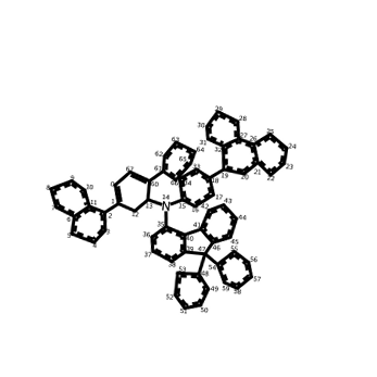 C1=C(c2cccc3ccccc23)CC(N(c2ccc(-c3cc4ccccc4c4ccccc34)cc2)c2cccc3c2-c2ccccc2C3(c2ccccc2)c2ccccc2)C(c2ccccc2)=C1